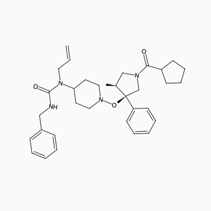 C=CCN(C(=O)NCc1ccccc1)C1CCN(O[C@]2(c3ccccc3)CN(C(=O)C3CCCC3)C[C@@H]2C)CC1